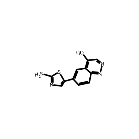 Nc1ncc(-c2ccc3nncc(O)c3c2)s1